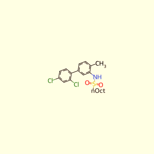 CCCCCCCCS(=O)(=O)Nc1cc(-c2ccc(Cl)cc2Cl)ccc1C